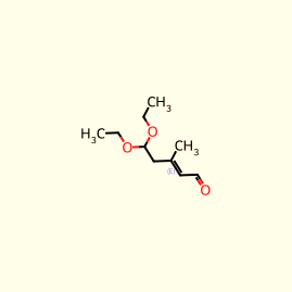 CCOC(C/C(C)=C/C=O)OCC